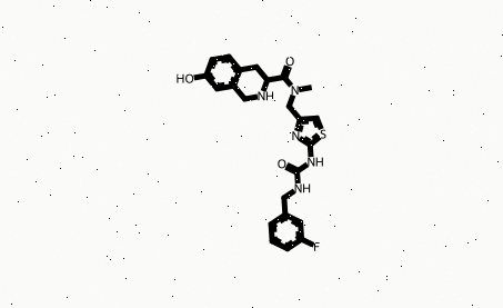 CN(Cc1csc(NC(=O)NCc2cccc(F)c2)n1)C(=O)C1Cc2ccc(O)cc2CN1